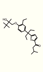 CCc1cc(C(CC)(CC)c2ccc(C(=O)CC(C)C)s2)ccc1OCC(C)(O)C(C)(C)C